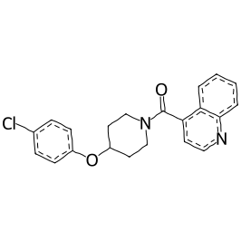 O=C(c1ccnc2ccccc12)N1CCC(Oc2ccc(Cl)cc2)CC1